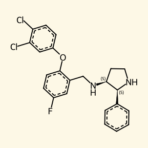 Fc1ccc(Oc2ccc(Cl)c(Cl)c2)c(CN[C@H]2CCN[C@H]2c2ccccc2)c1